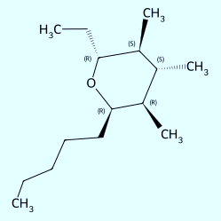 CCCCC[C@H]1O[C@H](CC)[C@@H](C)[C@H](C)[C@H]1C